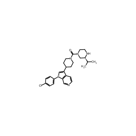 CC(C)[C@H]1CN(C(=O)N2CCC(c3cn(-c4ccc(Cl)cc4)c4cnccc34)CC2)CCN1